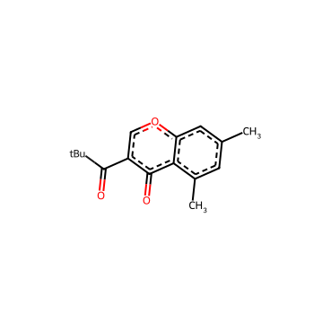 Cc1cc(C)c2c(=O)c(C(=O)C(C)(C)C)coc2c1